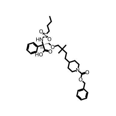 CCCCS(=O)(=O)N[C@@](COCC(C)(C)CCC1CCN(C(=O)OCc2ccccc2)CC1)(C(=O)O)c1ccccc1